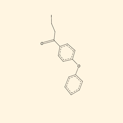 O=C(CCI)c1ccc(Oc2ccccc2)cc1